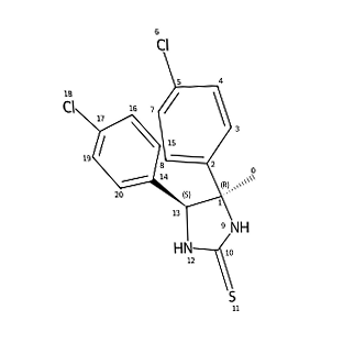 C[C@]1(c2ccc(Cl)cc2)NC(=S)N[C@H]1c1ccc(Cl)cc1